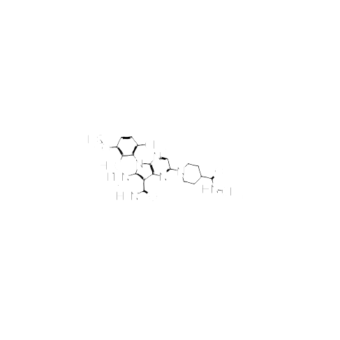 CNC(=O)C1CCN(c2cnc3c(n2)c(C(N)=O)c(N)n3-c2c(C)ccc(OC)c2C)CC1